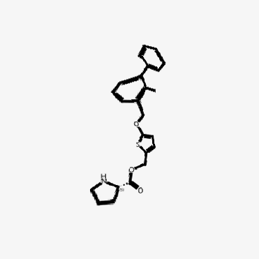 Cc1c(COc2ccc(COC(=O)[C@@H]3CCCN3)s2)cccc1-c1ccccc1